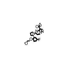 COCCOc1ccc(F)cc1[C@H]1CCCN1c1ccn2ncc(C(=O)OC)c2n1